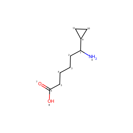 NC(CCCCC(=O)O)C1CC1